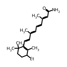 CCC1CCC(C)(C)C(/C=C/C(C)=C/C=C/C(C)=C/C(N)=O)=C1C